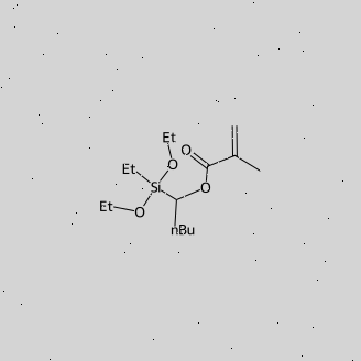 C=C(C)C(=O)OC(CCCC)[Si](CC)(OCC)OCC